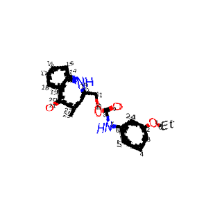 CCOc1cccc(NC(=O)OCc2[nH]c3ccccc3c(=O)c2C)c1